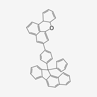 C1=CC2Oc3cc(-c4ccc(C5(c6ccccc6)c6ccccc6-c6ccc7ccccc7c65)cc4)cc4cccc(c34)C2C=C1